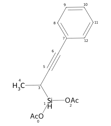 CC(=O)O[SiH](OC(C)=O)C(C)C#Cc1ccccc1